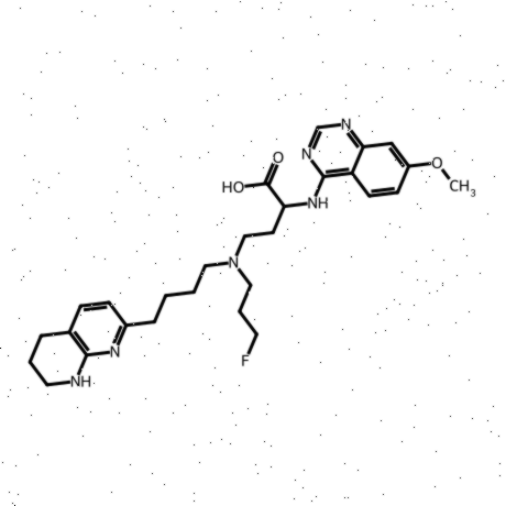 COc1ccc2c(NC(CCN(CCCF)CCCCc3ccc4c(n3)NCCC4)C(=O)O)ncnc2c1